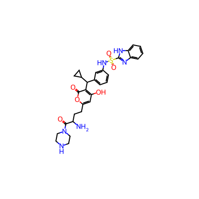 NC(CCc1cc(O)c(C(c2cccc(NS(=O)(=O)c3nc4ccccc4[nH]3)c2)C2CC2)c(=O)o1)C(=O)N1CCNCC1